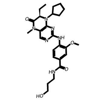 CC[C@@H]1C(=O)N(C)c2cnc(Nc3ccc(C(=O)NCCCO)cc3OC)nc2N1C1CCCC1